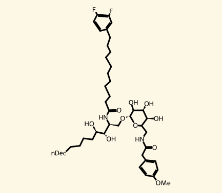 CCCCCCCCCCCCCC[C@@H](O)[C@@H](O)[C@H](CO[C@H]1OC(CNC(=O)Cc2ccc(OC)cc2)[C@H](O)[C@H](O)C1O)NC(=O)CCCCCCCCCCc1ccc(F)c(F)c1